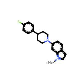 CCCCCCn1ccc2ccc(N3CCC(c4ccc(F)cc4)CC3)cc21